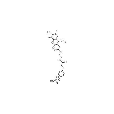 Cc1c(CC(=O)NCCNC(=O)CCc2ccc(OP(=O)(O)O)cc2)c(=O)oc2c(F)c(O)c(F)cc12